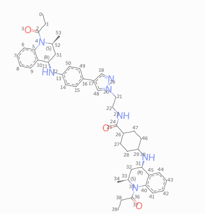 CCC(=O)N1c2ccccc2[C@H](Nc2ccc(-c3cnn(CCNC(=O)C4CCC(N[C@@H]5C[C@H](C)N(C(=O)CC)c6ccccc65)CC4)c3)cc2)C[C@@H]1C